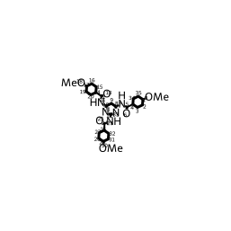 COc1ccc(C(=O)Nc2cc(NC(=O)c3ccc(OC)cc3)nc(NC(=O)c3ccc(OC)cc3)n2)cc1